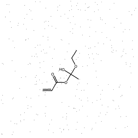 [CH2]C(O)(OCC)OC(=O)C=C